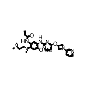 C=CC(=O)Nc1cc(Nc2nccc(OC3CN(c4cccnc4)C3)n2)c(OC)cc1N(C)CCN(C)C